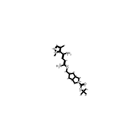 Cc1cnn(C)c1/C(N)=C/C=C(\N)OCC1CC2CN(C(=O)OC(C)(C)C)CC2C1